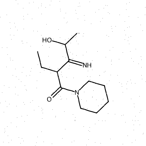 [CH2]C(O)C(=N)C(CC)C(=O)N1CCCCC1